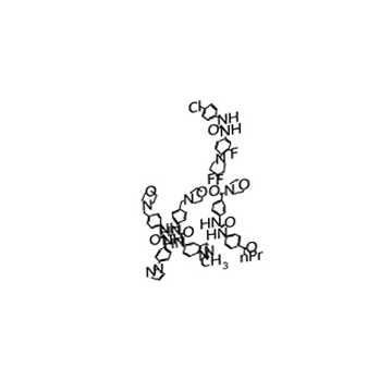 CCCC(=O)c1ccc(NC(=O)Nc2ccc(C(=O)N3CCOCC3)cc2)cc1.Cn1ncc2cc(NC(=O)Nc3ccc(CN4CCOCC4)cc3)ccc21.O=C(Nc1ccc(CN2CCOCC2)cc1)Nc1ccc(-n2cccn2)cc1.O=C(Nc1ccc(Cl)cc1)Nc1ccc(N2CCC(F)(F)CC2)c(F)c1